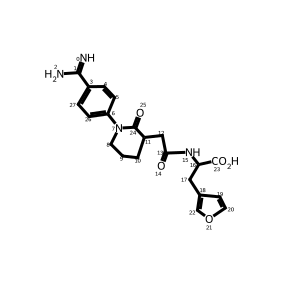 N=C(N)c1ccc(N2CCCC(CC(=O)NC(Cc3ccoc3)C(=O)O)C2=O)cc1